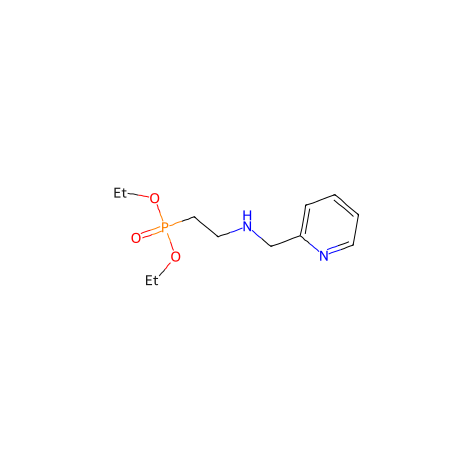 CCOP(=O)(CCNCc1ccccn1)OCC